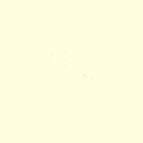 Cn1ncc2ccn(CC3CC4(C3)CN(C(=O)OC(C)(C)C)C4)c(=O)c21